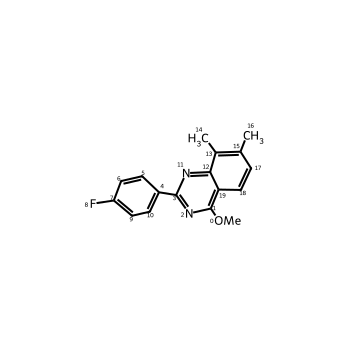 COc1nc(-c2ccc(F)cc2)nc2c(C)c(C)ccc12